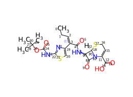 CC/C=C(/C(=O)N[C@@H]1C(=O)N2C(C(=O)O)=CCS[C@H]12)c1csc(NC(=O)OC(C)(C)C)n1